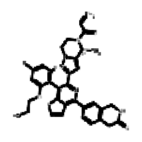 C=CC(=O)N1CCn2nc(-c3nc(-c4ccc5c(c4)CNC(=O)C5)c4ccsc4c3-c3c(F)cc(F)cc3OCCO)cc2[C@@H]1C